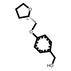 OCc1ccc(OC[C@@H]2CCCO2)cc1